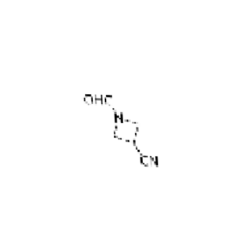 N#CC1CN([C]=O)C1